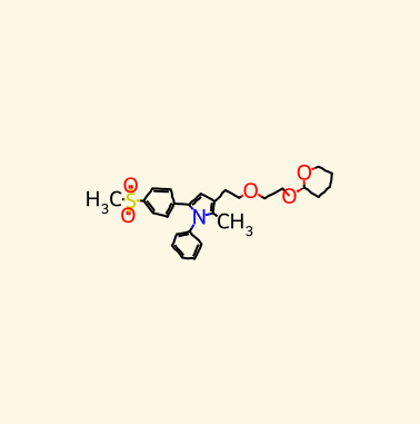 Cc1c(CCOCCO[C@@H]2CCCCO2)cc(-c2ccc(S(C)(=O)=O)cc2)n1-c1ccccc1